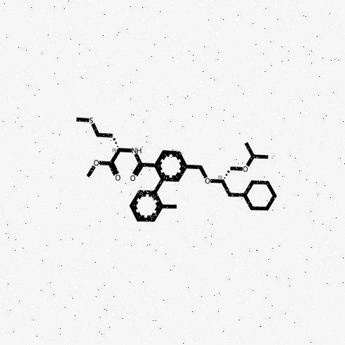 COC(=O)[C@H](CCSC)NC(=O)c1ccc(CO[C@H](COC(C)C)CC2CCCCC2)cc1-c1ccccc1C